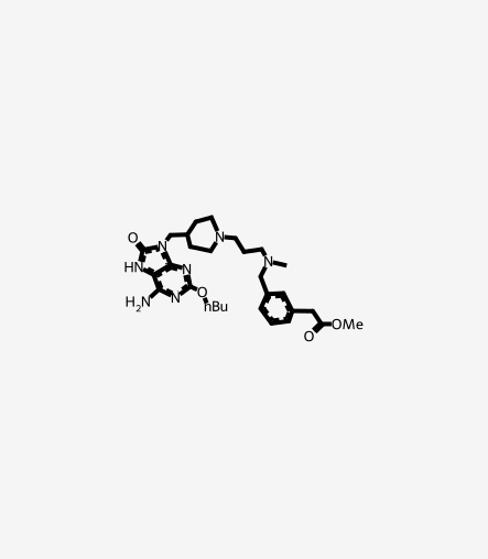 CCCCOc1nc(N)c2[nH]c(=O)n(CC3CCN(CCCN(C)Cc4cccc(CC(=O)OC)c4)CC3)c2n1